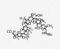 CN(CC(=O)O)C(=O)CN(C)C(=O)[C@H](CO)N(C)C(=O)[C@H](CO)N(C)C(=O)CN(C)C(=O)CN(C)C(=O)[C@H](CO)N(C)C(=O)[C@H](CO)N(C)C(=O)CN(C)C(=O)CNC(C)(C)C